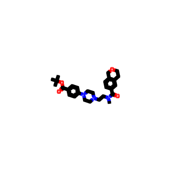 CN(CCN1CCN(c2ccc(C(=O)OC(C)(C)C)cc2)CC1)C(=O)c1ccc2c(c1)CCOC2